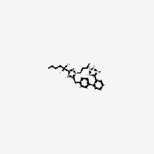 CCCCn1nc(C(F)(F)CCCC)nc1Cc1ccc(-c2ccccc2-c2nnn[nH]2)cc1